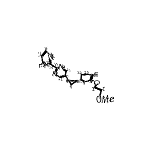 COCCOc1cc([C@@H]2C[C@H]2c2cnc(-c3ncccn3)nc2)ccc1F